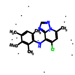 COc1c(C)cc(C)c(Nc2c(Cl)cc(C)n3ncnc23)c1C